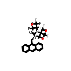 CC(N(C(=O)OCc1c2ccccc2cc2ccccc12)C(C(F)(F)F)(C(F)(F)F)C(F)(F)F)(C(F)(F)F)C(F)(F)F